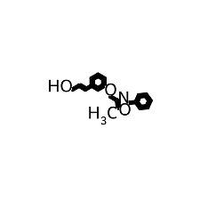 Cc1oc(-c2ccccc2)nc1COc1cccc(C=CCO)c1